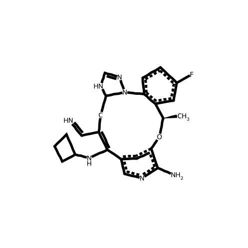 C[C@H]1Oc2cc(cnc2N)/C(NC2CCC2)=C(/C=N)CC2NC=NN2c2ccc(F)cc21